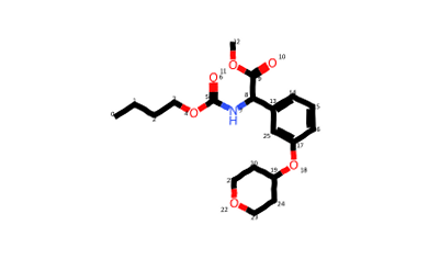 CCCCOC(=O)NC(C(=O)OC)c1cccc(OC2CCOCC2)c1